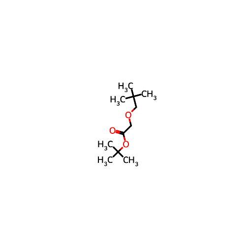 CC(C)(C)COCC(=O)OC(C)(C)C